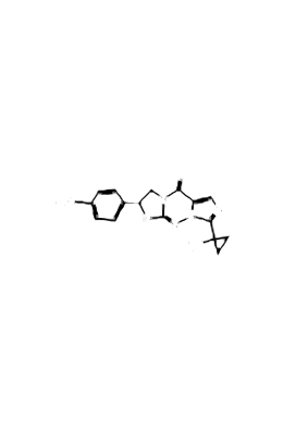 Cc1ccc([C@H]2Cn3c(nn4c(C5(C)CC5)ncc4c3=O)N2)cc1